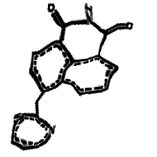 O=C1NC(=O)c2ccc(-c3nccs3)c3cccc1c23